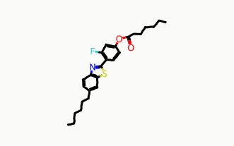 CCCCCCC(=O)Oc1ccc(-c2nc3ccc(CCCCCC)cc3s2)c(F)c1